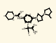 CC1CCCN1C1CCN(c2ccc(NC(=O)N3CCCCC3)cc2)C1.O=C(O)C(F)(F)F